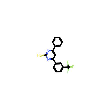 FC(F)(F)c1cccc(-c2cc(-c3ccccc3)nc(S)n2)c1